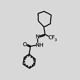 O=C(N/N=C(/C1CCCCC1)C(F)(F)F)c1ccccc1